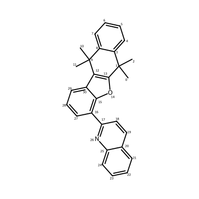 CC1(C)c2ccccc2C(C)(C)c2c1oc1c(-c3ccc4ccccc4n3)cccc21